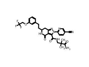 CC(C)(CNC(=O)c1c2c(nn1-c1ccc(C#N)cn1)CC(CCc1cccc(OCC(F)(F)F)c1)NC2=O)C(N)=O